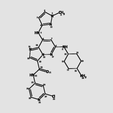 Cn1ccc(Nc2cc(NC3CCC(N)CC3)nn3c(C(=O)Nc4ccnc(Cl)c4)cnc23)n1